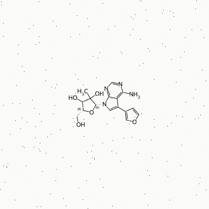 CC1(O)C(O)[C@@H](CO)O[C@H]1n1cc(-c2ccoc2)c2c(N)ncnc21